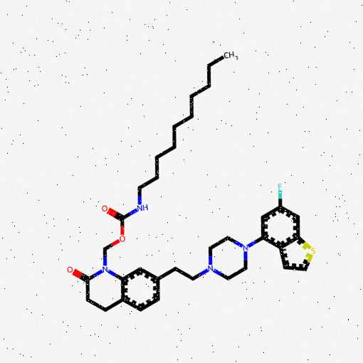 CCCCCCCCCCNC(=O)OCN1C(=O)CCc2ccc(CCN3CCN(c4cc(F)cc5sccc45)CC3)cc21